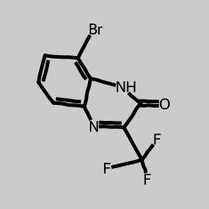 O=c1[nH]c2c(Br)cccc2nc1C(F)(F)F